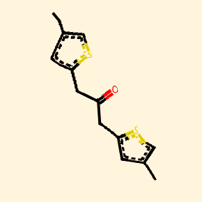 Cc1csc(CC(=O)Cc2cc(C)cs2)c1